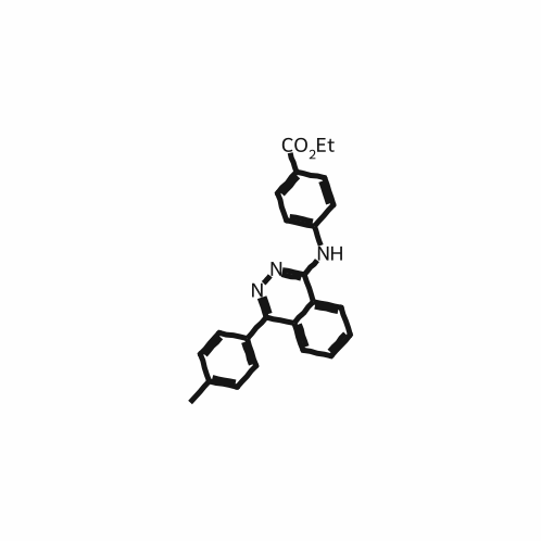 CCOC(=O)c1ccc(Nc2nnc(-c3ccc(C)cc3)c3ccccc23)cc1